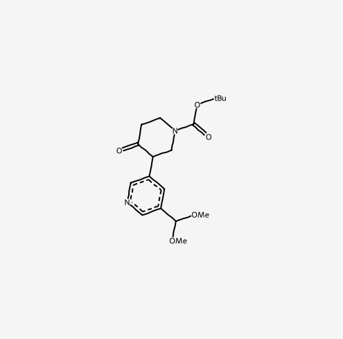 COC(OC)c1cncc(C2CN(C(=O)OC(C)(C)C)CCC2=O)c1